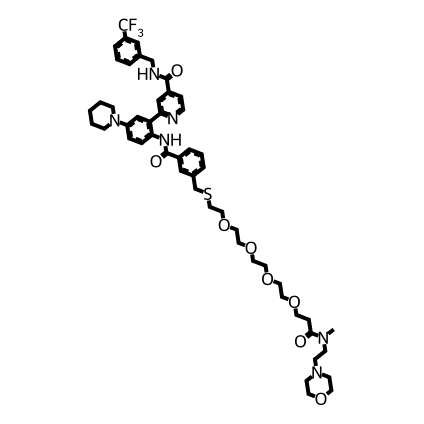 CN(CCN1CCOCC1)C(=O)CCOCCOCCOCCOCCSCc1cccc(C(=O)Nc2ccc(N3CCCCC3)cc2-c2cc(C(=O)NCc3cccc(C(F)(F)F)c3)ccn2)c1